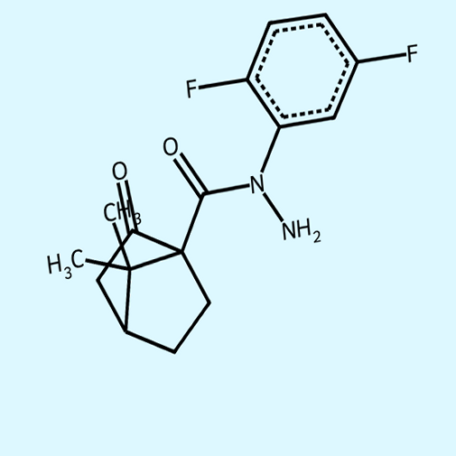 CC1(C)C2CCC1(C(=O)N(N)c1cc(F)ccc1F)C(=O)C2